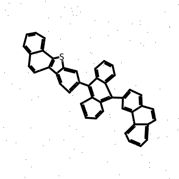 c1ccc2c(c1)ccc1ccc(-c3c4ccccc4c(-c4ccc5c(c4)sc4c6ccccc6ccc54)c4ccccc34)cc12